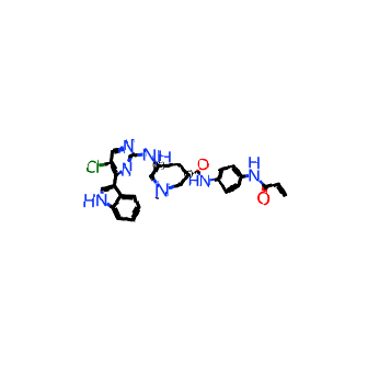 C=CC(=O)Nc1ccc(NC(=O)[C@H]2C[C@H](Nc3ncc(Cl)c(-c4c[nH]c5ccccc45)n3)CN(C)C2)cc1